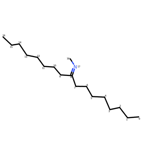 CCCCCCCCC(CCCCCCCC)=NC